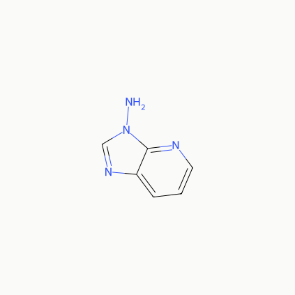 Nn1cnc2cccnc21